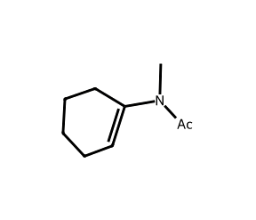 CC(=O)N(C)C1=CCCCC1